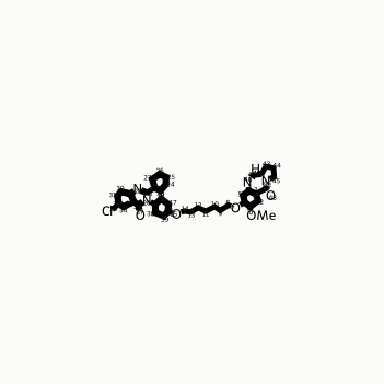 COc1cc2c(cc1OCCCCCCCOc1ccc(-n3c(-c4ccccc4)nc4ccc(Cl)cc4c3=O)cc1)N=C[C@@H]1CCCN1C2=O